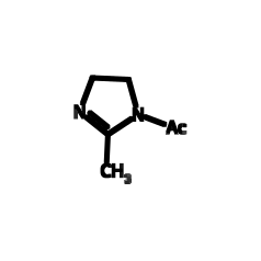 CC(=O)N1CCN=C1C